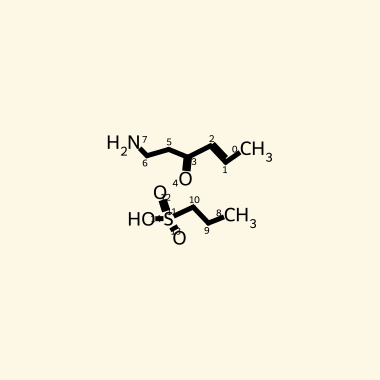 CC=CC(=O)CCN.CCCS(=O)(=O)O